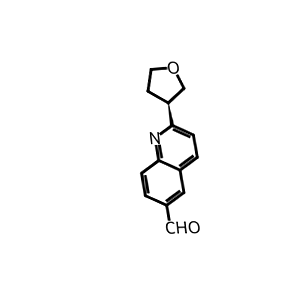 O=Cc1ccc2nc([C@H]3CCOC3)ccc2c1